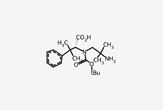 CC(C)(N)CN(C(=O)OC(C)(C)C)[C@@H](C(=O)O)C(C)(C)c1ccccc1